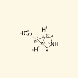 C#C[C@@H]1[C@H]2CNC[C@@H]12